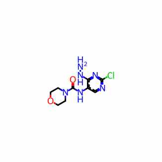 NNc1nc(Cl)ncc1NC(=O)N1CCOCC1